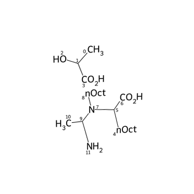 CC(O)C(=O)O.CCCCCCCCC(C(=O)O)N(CCCCCCCC)C(C)N